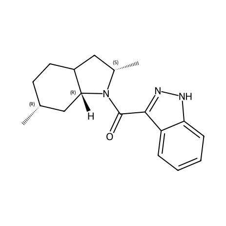 C[C@@H]1CCC2C[C@H](C)N(C(=O)c3n[nH]c4ccccc34)[C@@H]2C1